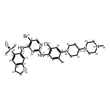 Cc1cc(Nc2ncc(Br)c(Nc3cc4c(cc3P(C)(C)=O)CCO4)n2)c(Cl)cc1N1CCC(N2CCN(C)CC2)CC1